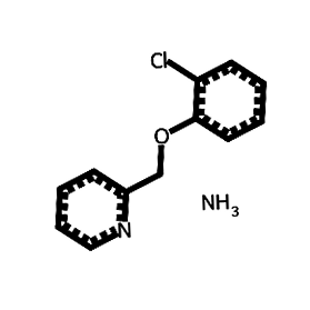 Clc1ccccc1OCc1ccccn1.N